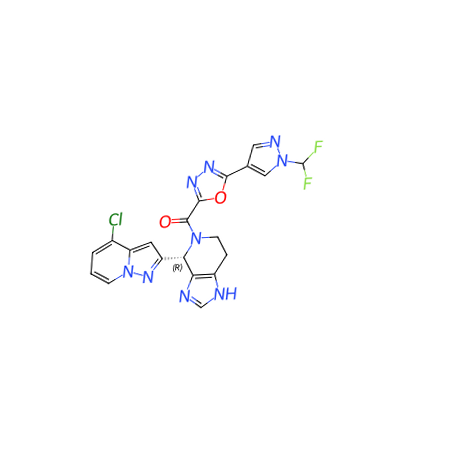 O=C(c1nnc(-c2cnn(C(F)F)c2)o1)N1CCc2[nH]cnc2[C@@H]1c1cc2c(Cl)cccn2n1